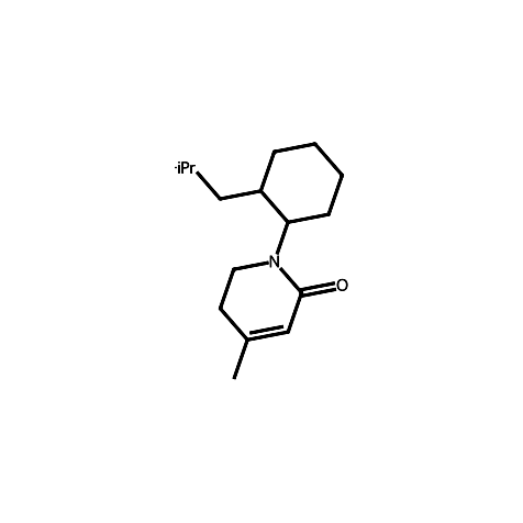 C[C](C)CC1CCCCC1N1CCC(C)=CC1=O